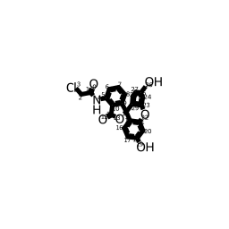 O=C(CCl)Nc1cccc2c1C(=O)OC21c2ccc(O)cc2Oc2cc(O)ccc21